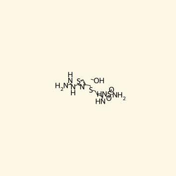 CO.N=C(N)Nc1nc(CSCCC(=N)NS(N)(=O)=O)cs1